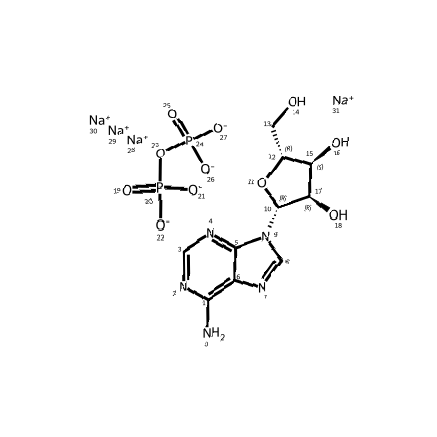 Nc1ncnc2c1ncn2[C@@H]1O[C@H](CO)[C@@H](O)[C@H]1O.O=P([O-])([O-])OP(=O)([O-])[O-].[Na+].[Na+].[Na+].[Na+]